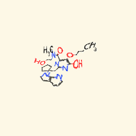 CCCCOc1c(O)nc(CC2(n3ccc4cccnc43)CCCC2)nc1C(=O)N(C)CCO